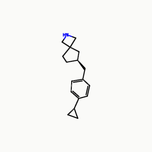 c1cc(C2CC2)ccc1C[C@H]1CCC2(CNC2)C1